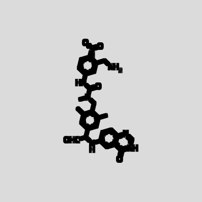 Cc1cc(C(C=O)Nc2ccc3nc[nH]c(=O)c3c2)cc(C)c1CN(C)C(=O)Nc1ccc([SH](=O)=O)c(CN)c1